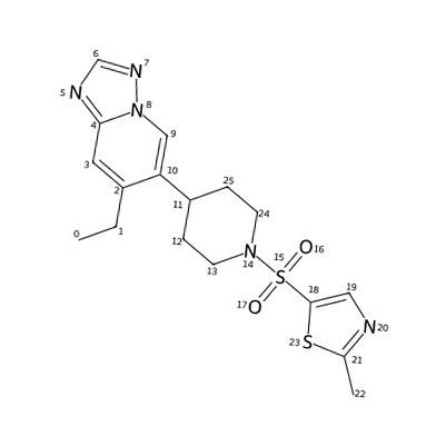 CCc1cc2ncnn2cc1C1CCN(S(=O)(=O)c2cnc(C)s2)CC1